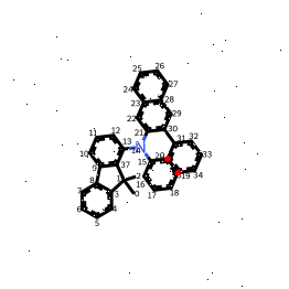 CC1(C)c2ccccc2-c2cccc(N(c3ccccc3)c3cc4ccccc4cc3-c3ccccc3)c21